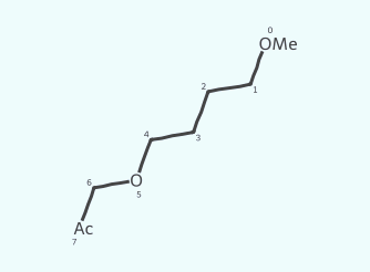 COCCCCOCC(C)=O